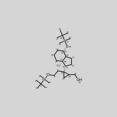 CC(C)(C)[Si](C)(C)OCCC1([C@H]2CCC3[C@@H](O[Si](C)(C)C(C)(C)C)CCC[C@@]32C)CC1CO